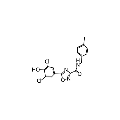 Cc1ccc(CNC(=O)c2noc(-c3cc(Cl)c(O)c(Cl)c3)n2)cc1